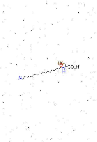 CN(C)CCCCCCCCCCCCCCCCCC(=O)NC(CS)C(=O)O